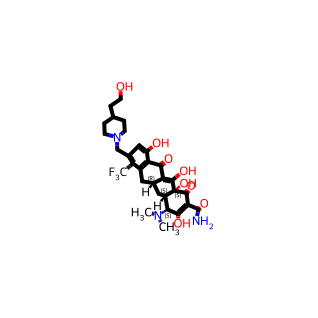 CN(C)[C@@H]1C(O)=C(C(N)=O)C(=O)[C@@]2(O)C(O)=C3C(=O)c4c(O)cc(CN5CCC(CCO)CC5)c(C(F)(F)F)c4C[C@H]3C[C@@H]12